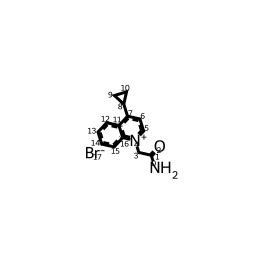 NC(=O)C[n+]1ccc(C2CC2)c2ccccc21.[Br-]